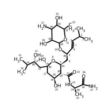 CC(C)/C=C/[C@@H](C[C@@H]1O[C@](O)(C[C@@H](O)C(C)C)C[C@H](O)[C@H]1C(=O)N[C@H](C)C(N)=O)OC1OC(C)C(O)C(N)C1O